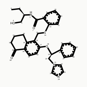 CC[C@H](CO)NC(=O)c1ccccc1SCc1c(O[C@H](Cn2ccnc2)c2ccccc2)ccc2c1CCCC2=O